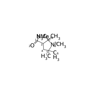 CNC(=O)C1CC(C)(C)N(C)C1(C)C